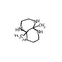 CC12NCCNC1(C)NCCN2